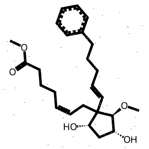 COC(=O)CCC/C=C\CC1(/C=C/CCCc2ccccc2)[C@@H](O)C[C@@H](O)[C@@H]1OC